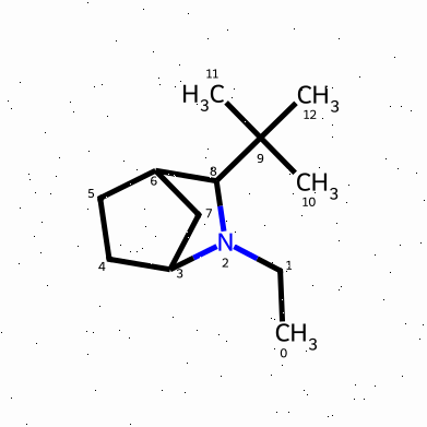 CCN1C2CCC(C2)C1C(C)(C)C